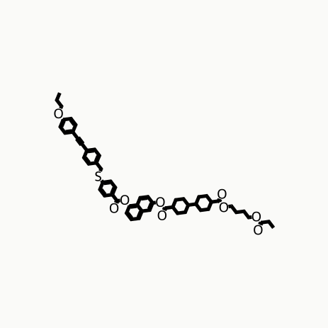 CCCOc1ccc(C#Cc2ccc(CSc3ccc(C(=O)Oc4cccc5cc(OC(=O)C6CCC(C7CCC(C(=O)OCCCCOC(=O)CC)CC7)CC6)ccc45)cc3)cc2)cc1